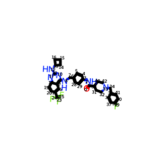 O=C(Nc1ccc(CNc2nc(NC3CCC3)nc3ccc(C(F)(F)F)cc23)cc1)C1CCN(Cc2ccc(F)cc2)CC1